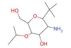 CC(C)OC1C(CO)OC(C(C)(C)C)C(N)C1O